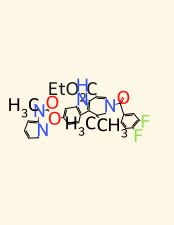 CCOC(=O)C1=CN(C(=O)c2ccc(F)c(F)c2)CC(C)(C)c2c1[nH]c1cc(OC(=O)N(C)c3ccccn3)ccc21